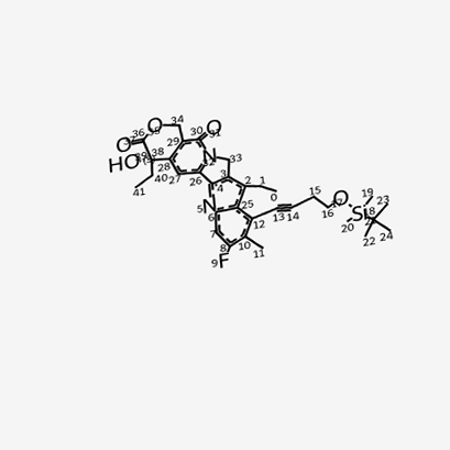 CCc1c2c(nc3cc(F)c(C)c(C#CCCO[Si](C)(C)C(C)(C)C)c13)-c1cc3c(c(=O)n1C2)COC(=O)[C@]3(O)CC